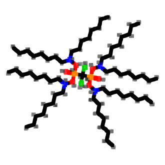 CCCCCCCCN(CCCCCCCC)OP(=O)(ON(CCCCCCCC)CCCCCCCC)C(Cl)(Cl)P(=O)(ON(CCCCCCCC)CCCCCCCC)ON(CCCCCCCC)CCCCCCCC